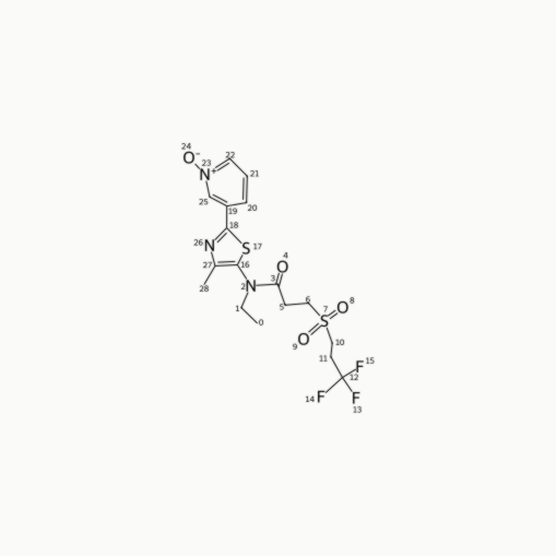 CCN(C(=O)CCS(=O)(=O)CCC(F)(F)F)c1sc(-c2ccc[n+]([O-])c2)nc1C